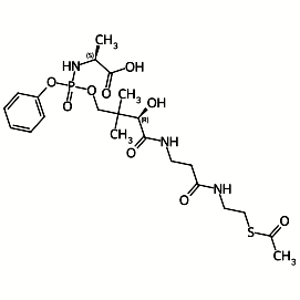 CC(=O)SCCNC(=O)CCNC(=O)[C@H](O)C(C)(C)COP(=O)(N[C@@H](C)C(=O)O)Oc1ccccc1